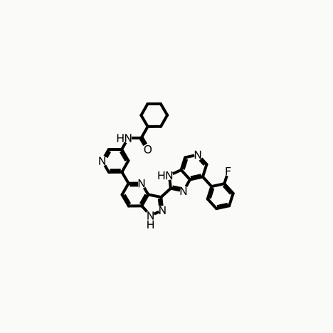 O=C(Nc1cncc(-c2ccc3[nH]nc(-c4nc5c(-c6ccccc6F)cncc5[nH]4)c3n2)c1)C1CCCCC1